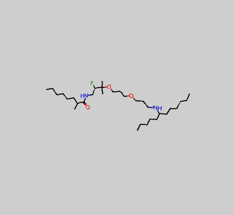 CCCCCCC(CCCCC)NCCCOCCCOC(C)(C)C(F)CNC(=O)C(C)CCCCCC